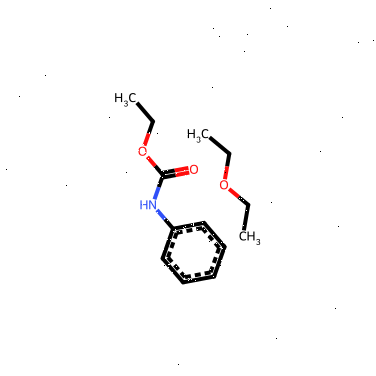 CCOC(=O)Nc1ccccc1.CCOCC